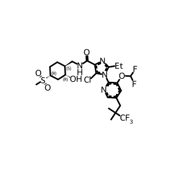 CCc1nc(C(=O)NC[C@@H]2CC[C@@H](S(C)(=O)=O)C[C@H]2O)c(Cl)n1-c1ncc(CC(C)(C)C(F)(F)F)cc1OC(F)F